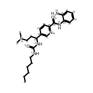 CCCCCCNC(=O)NC(CCN(C)C)c1ccc(C(=O)Nc2ccccc2N)nc1